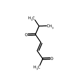 CC(=O)/C=C/C(=O)C(C)C